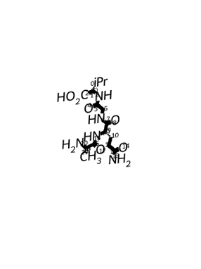 CC(C)[C@H](NC(=O)CNC(=O)[C@H](CCC(N)=O)NC(=O)[C@H](C)N)C(=O)O